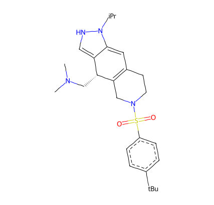 CC(C)N1NC=C2C1=CC1=C(CN(S(=O)(=O)c3ccc(C(C)(C)C)cc3)CC1)[C@@H]2CN(C)C